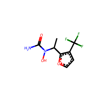 CC(c1occc1C(F)(F)F)N(O)C(N)=O